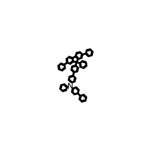 C1=CC(c2ccccc2)CC=C1N(c1ccccc1)c1ccc(-c2ccc(C3(c4ccccc4)c4cc(-c5ccccc5)ccc4-c4ccc(-c5ccccc5)cc43)cc2)cc1